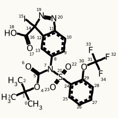 CC(C)(C)OC(=O)N(c1ccc2c(c1)C(I)(C(=O)O)N=N2)S(=O)(=O)c1ccccc1OC(F)(F)F